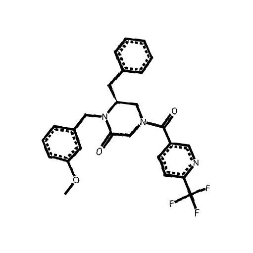 COc1cccc(CN2C(=O)CN(C(=O)c3ccc(C(F)(F)F)nc3)C[C@@H]2Cc2ccccc2)c1